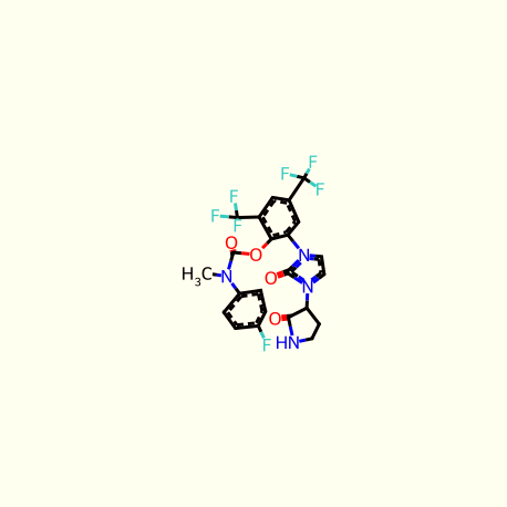 CN(C(=O)Oc1c(-n2ccn(C3CCNC3=O)c2=O)cc(C(F)(F)F)cc1C(F)(F)F)c1ccc(F)cc1